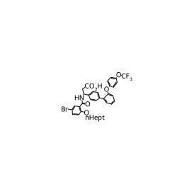 CCCCCCCOc1ccc(Br)cc1C(=O)NC(CC(=O)O)c1ccc(-c2ccccc2Oc2ccc(OC(F)(F)F)cc2)cc1